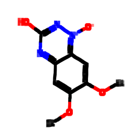 CCOc1cc2nc(O)n[n+]([O-])c2cc1OCC